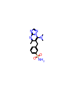 Cc1nc2ncnn2c(N(C)C)c1Cc1cccc(S(N)(=O)=O)c1